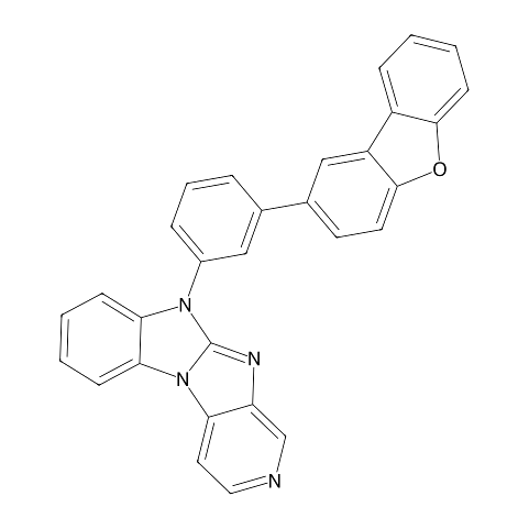 c1cc(-c2ccc3oc4ccccc4c3c2)cc(-n2c3ccccc3n3c4ccncc4nc23)c1